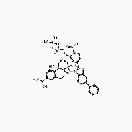 CC(C)c1ccc2c(c1)CC[C@H]1[C@@](C)(Cn3c(-c4ccc([N+](=O)[O-])c(OCC(=O)OC(C)(C)C)c4)nc4cc(-c5ccccc5)ccc43)CCC[C@]21C